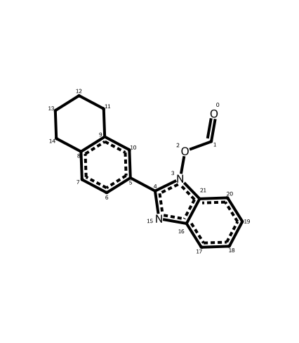 O=COn1c(-c2ccc3c(c2)CCCC3)nc2ccccc21